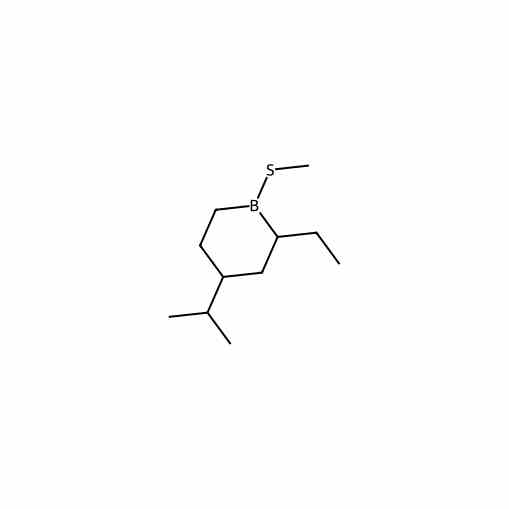 CCC1CC(C(C)C)CCB1SC